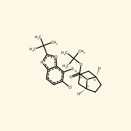 CC(C)(C)OC(=O)N1[C@@H]2CC[C@H]1C[C@H](Sc1c(Cl)ccc3nc(C(C)(C)C)oc13)C2